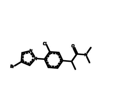 CC(C(=O)N(C)C)c1ccc(-n2cc(Br)cn2)c(Cl)c1